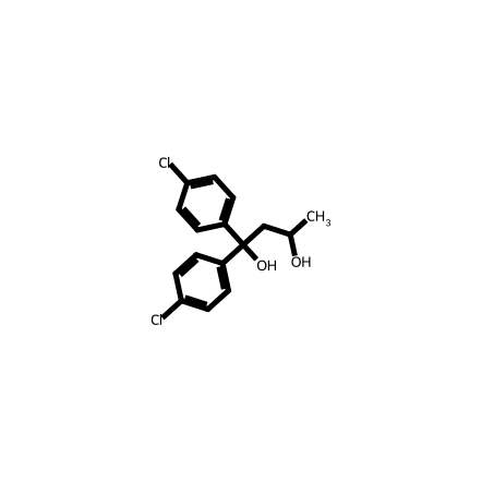 CC(O)CC(O)(c1ccc(Cl)cc1)c1ccc(Cl)cc1